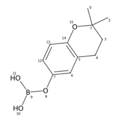 CC1(C)CCc2cc(OB(O)O)ccc2O1